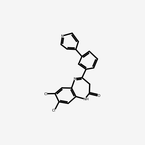 O=C1CC(c2cccc(-c3ccncc3)c2)=Nc2cc(Cl)c(Cl)cc2N1